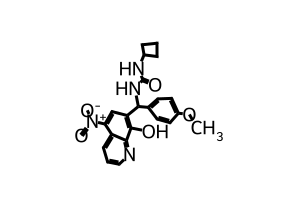 COc1ccc(C(NC(=O)NC2CCC2)c2cc([N+](=O)[O-])c3cccnc3c2O)cc1